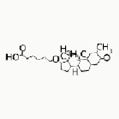 C[C@@H]1C[C@@]2(C)C(CC[C@@H]3C2CC[C@@]2(C)C3CC[C@@H]2OCCCCCC(=O)O)CC1=O